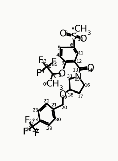 C[C@H](Oc1ccc(S(C)(=O)=O)cc1C(=O)N1CCC(OCc2ccc(C(F)(F)F)cc2)C1)C(F)(F)F